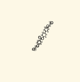 O=C(OC1CCC(c2ccc(OCC3CO3)cc2)CC1)c1ccc(OCC2CO2)cc1